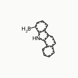 Bc1cccc2c1[nH]c1c3ccccc3ccc21